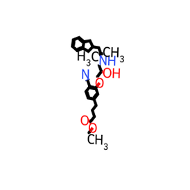 CCOC(=O)CCCc1ccc(C#N)c(OCC(O)CNC(C)(C)CC2Cc3ccccc3C2)c1